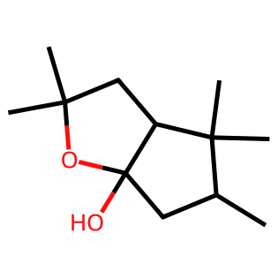 CC1CC2(O)OC(C)(C)CC2C1(C)C